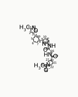 Cc1cc(-c2cccc(-c3csc(NC(=O)CNC(=O)c4ccn([S+](C)[O-])c4)n3)c2)on1